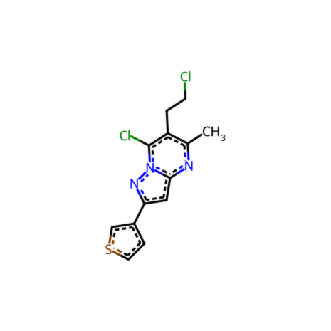 Cc1nc2cc(-c3ccsc3)nn2c(Cl)c1CCCl